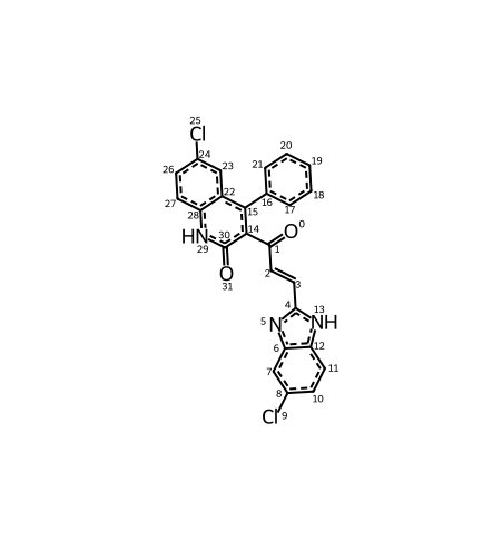 O=C(C=Cc1nc2cc(Cl)ccc2[nH]1)c1c(-c2ccccc2)c2cc(Cl)ccc2[nH]c1=O